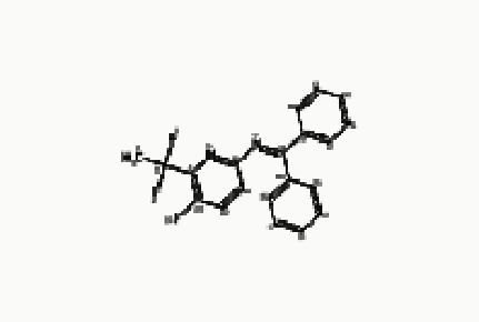 CC(F)(F)c1nc(N=C(c2ccccc2)c2ccccc2)ccc1F